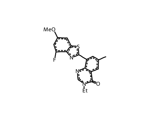 CCn1cnc2c(-c3nc4c(F)cc(OC)cc4s3)cc(C)cc2c1=O